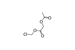 CC(=O)OCC(=O)OCCl